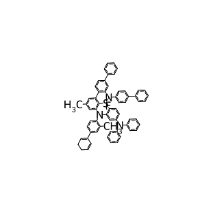 Cc1cc2c3c(c1)N(c1ccc(C4=CCCC=C4)cc1C)c1cc(N(c4ccccc4)c4ccccc4)ccc1S3(F)N(c1ccc(-c3ccccc3)cc1)c1cc(-c3ccccc3)ccc1-2